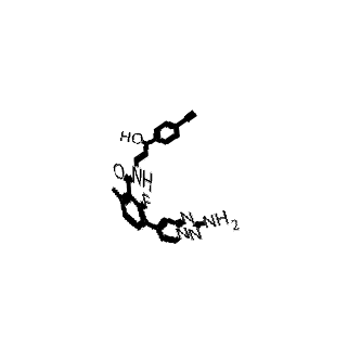 C#Cc1ccc(C(O)CCNC(=O)c2c(C)ccc(-c3ccn4nc(N)nc4c3)c2F)cc1